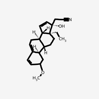 CC[C@]12CC[C@H]3[C@@H](CC=C4C=CC(OC)C[C@@H]43)[C@@H]1C=C[C@@]2(O)CC#N